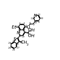 CCc1ccc(OCCc2cccnc2)c2c(C(O)O)cc(-c3sc4ccccc4c3C)nc12